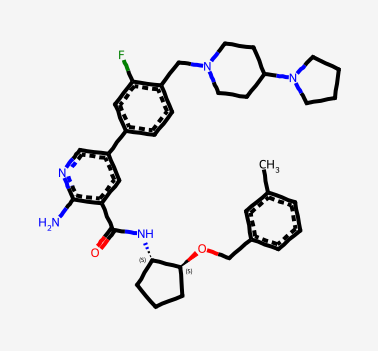 Cc1cccc(CO[C@H]2CCC[C@@H]2NC(=O)c2cc(-c3ccc(CN4CCC(N5CCCC5)CC4)c(F)c3)cnc2N)c1